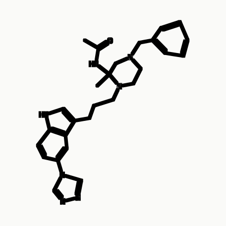 CC(=O)NC1(C)CN(Cc2ccccc2)CCN1CCCc1c[nH]c2ccc(-n3cnnc3)cc12